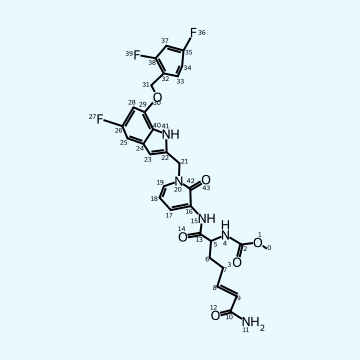 COC(=O)NC(CCC=CC(N)=O)C(=O)Nc1cccn(Cc2cc3cc(F)cc(OCc4ccc(F)cc4F)c3[nH]2)c1=O